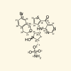 NS(=O)(=O)OC[C@H]1C[C@@H](Nc2ncncc2C(=O)c2cc([C@@H]3OCCc4ccc(Br)cc43)cs2)C[C@@H]1O